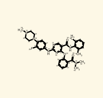 Cc1cccc(C)c1NC(=O)c1cnc(Nc2ccc(N3CCN(C)CC3)c(F)c2)nc1Oc1ccccc1C(=O)N(C)C